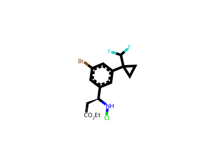 CCOC(=O)C[C@H](NCl)c1cc(Br)cc(C2(C(F)F)CC2)c1